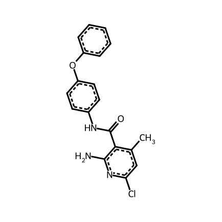 Cc1cc(Cl)nc(N)c1C(=O)Nc1ccc(Oc2ccccc2)cc1